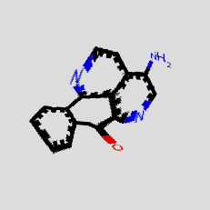 Nc1cnc2c3c(nccc13)-c1ccccc1C2=O